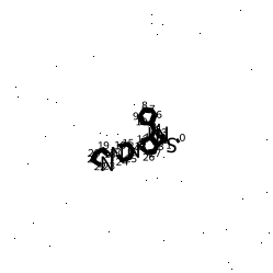 CSc1nn(-c2ccccc2)c2cc(N3CCN(c4ccccn4)CC3)ccc12